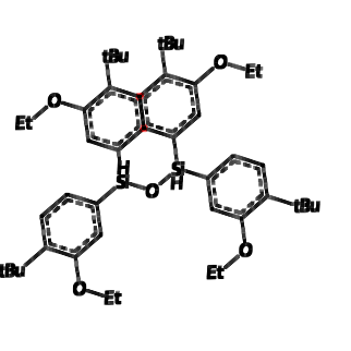 CCOc1cc([SiH](O[SiH](c2ccc(C(C)(C)C)c(OCC)c2)c2ccc(C(C)(C)C)c(OCC)c2)c2ccc(C(C)(C)C)c(OCC)c2)ccc1C(C)(C)C